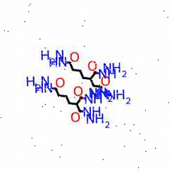 NNC(=O)CCCC(C(=O)NN)C(=O)NN.NNC(=O)CCCC(CC(=O)NN)C(=O)NN